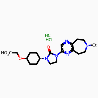 CCN1CCc2ncc(N3CCN([C@H]4CC[C@H](OCC(=O)O)CC4)C3=O)nc2CC1.Cl.Cl